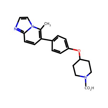 Cc1c(-c2ccc(OC3CCN(C(=O)O)CC3)cc2)ccc2nccn12